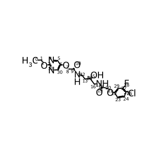 CCOc1ncc(OCC(=O)NCC[C@H](O)CNC(=O)COc2ccc(Cl)c(F)c2)cn1